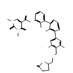 COc1cc(-c2cccc(-c3cccc(NC(=O)c4cn(C)c(=O)n(C)c4=O)c3C)c2C)cc(F)c1CNCC1CCC(=O)N1